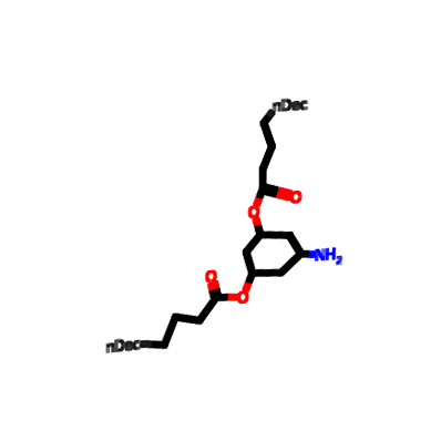 CCCCCCCCCCCCCC(=O)OC1CC(N)CC(OC(=O)CCCCCCCCCCCCC)C1